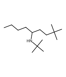 CCCCC(CCC(C)(C)C)NC(C)(C)C